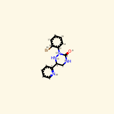 O=C1NCC(c2ccccn2)NN1c1ccccc1Br